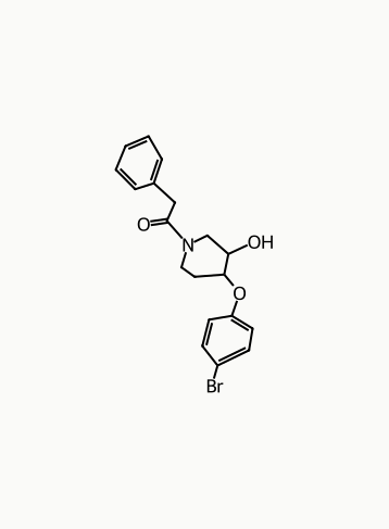 O=C(Cc1ccccc1)N1CCC(Oc2ccc(Br)cc2)C(O)C1